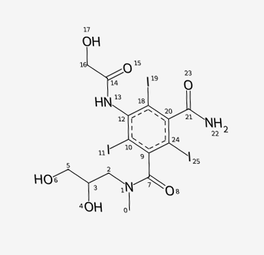 CN(CC(O)CO)C(=O)c1c(I)c(NC(=O)CO)c(I)c(C(N)=O)c1I